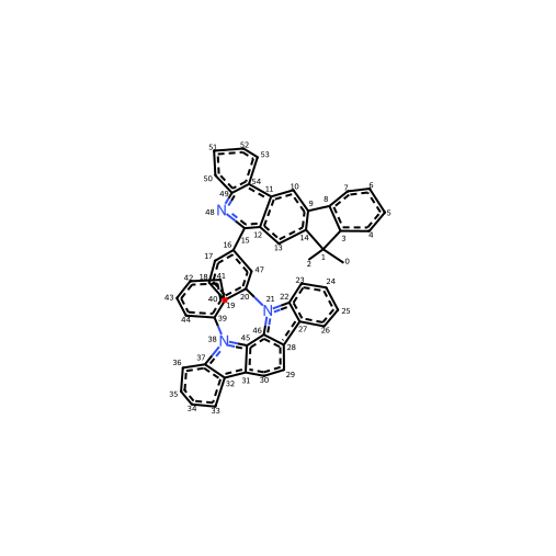 CC1(C)c2ccccc2-c2cc3c(cc21)c(-c1cccc(-n2c4ccccc4c4ccc5c6ccccc6n(-c6ccccc6)c5c42)c1)nc1ccccc13